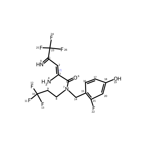 N=C(/C=C(\N)C(=O)N(CCC(F)(F)F)Cc1ccc(O)cc1F)C(F)(F)F